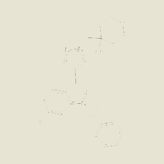 O=S(=O)(c1ccccc1)n1cc(-c2cnn(CC3(O)CCOCC3)c2)c2ccc(F)cc21